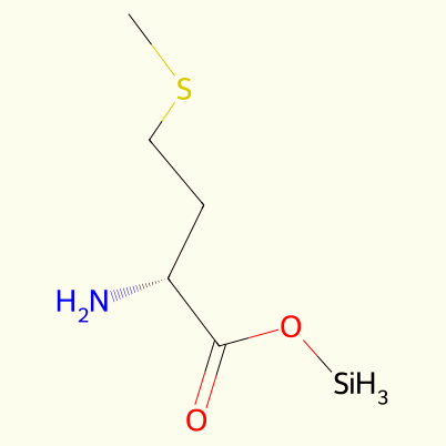 CSCC[C@@H](N)C(=O)O[SiH3]